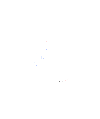 C=CCN1CC(=O)N2C(Cc3ccc(O)cc3)C(=O)N(Cc3ccc(OC)c(Br)c3)CC2N1C(=O)NCc1ccccc1